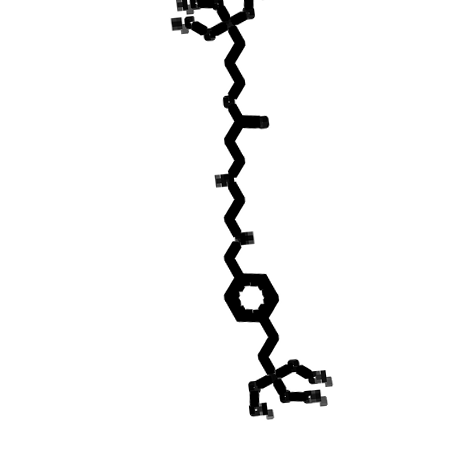 CO[Si](CCCOC(=O)CCNCCNCc1ccc(CC[Si](OC)(OC)OC)cc1)(OC)OC